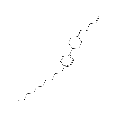 C=CCOC[C@H]1CC[C@H](c2ccc(CCCCCCCCCC)cc2)CC1